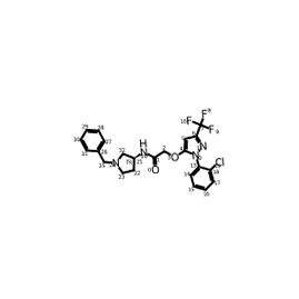 O=C(COc1cc(C(F)(F)F)nn1-c1ccccc1Cl)N[C@H]1CCN(Cc2ccccc2)C1